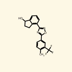 Cc1ccc(-c2nc(-c3cccc4c3CCC4O)no2)cc1C(F)(F)F